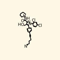 N#CCCCC#Cc1ccc(-c2c(CO)c(C(=O)NN3CCCCC3)nn2-c2ccc(Cl)cc2Cl)cc1